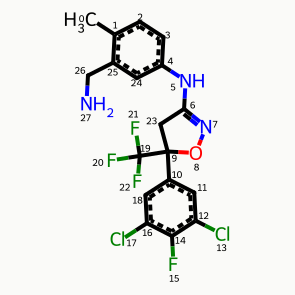 Cc1ccc(NC2=NOC(c3cc(Cl)c(F)c(Cl)c3)(C(F)(F)F)C2)cc1CN